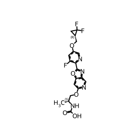 C[C@@H](COc1cc2oc(-c3ncc(OC[C@H]4CC4(F)F)cc3F)nc2cn1)NC(=O)O